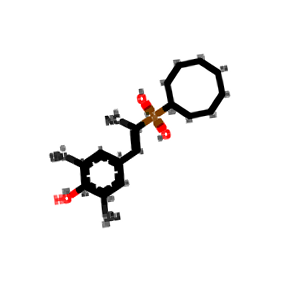 CC(C)(C)c1cc(/C=C(\C#N)S(=O)(=O)C2CCCCCCC2)cc(C(C)(C)C)c1O